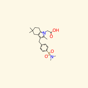 Cc1c(Cc2ccc(S(=O)(=O)N(C)C)cc2)c2c(n1CC(=O)O)CCC(C)(C)C2